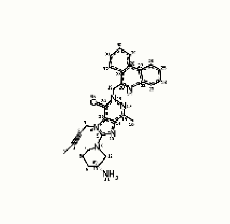 CC#CCn1c(N2CCC[C@@H](N)C2)nc2c(C)nn(Cc3nc4ccccc4c4ccccc34)c(=O)c21